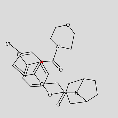 O=C(c1cc(Cl)ccc1OCC(=O)N1C2CCC1CC(Oc1ccc(F)cc1)C2)N1CCOCC1